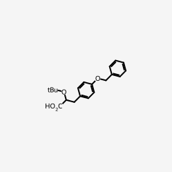 CC(C)(C)OC(Cc1ccc(OCc2ccccc2)cc1)C(=O)O